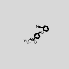 COC(=O)c1ccc(COc2ccccc2C#N)cc1